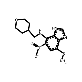 NSc1cc([N+](=O)[O-])c(NCC2CCOCC2)c2[nH]cnc12